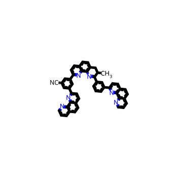 CC1Cc2ccc3ccc(-c4cc(C#N)cc(-c5ccc6ccc7cccnc7c6n5)c4)nc3c2N=C1c1cccc(-c2ccc3ccc4cccnc4c3n2)c1